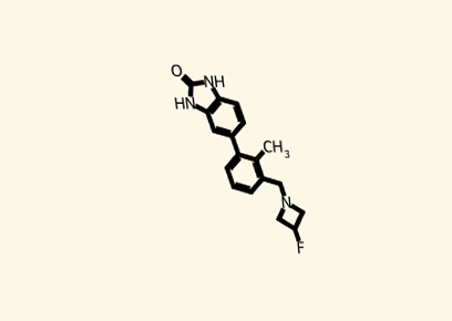 Cc1c(CN2CC(F)C2)cccc1-c1ccc2[nH]c(=O)[nH]c2c1